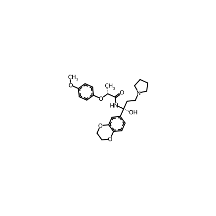 COc1ccc(O[C@H](C)C(=O)N[C@@](O)(CCN2CCCC2)c2ccc3c(c2)OCCO3)cc1